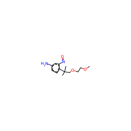 COCCOCC(C)(C)c1ccc(N)cc1N=O